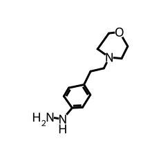 NNc1ccc(CCN2CCOCC2)cc1